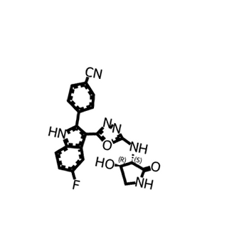 N#Cc1ccc(-c2[nH]c3ccc(F)cc3c2-c2nnc(N[C@@H]3C(=O)NC[C@H]3O)o2)cc1